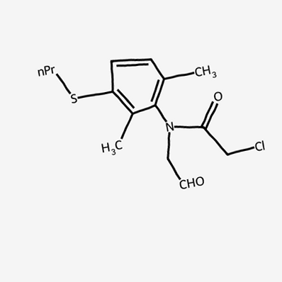 CCCSc1ccc(C)c(N(CC=O)C(=O)CCl)c1C